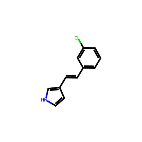 Clc1cccc(C=Cc2cc[nH]c2)c1